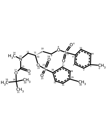 Cc1ccc(S(=O)(=O)OCC[C@@H](CN(C)C(=O)OC(C)(C)C)OS(=O)(=O)c2ccc(C)cc2)cc1